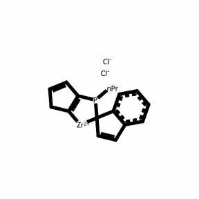 CCCP1C2=[C](CC=C2)[Zr+2][C]12C=Cc1ccccc12.[Cl-].[Cl-]